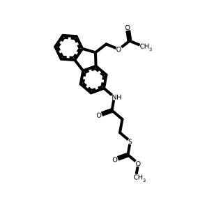 COC(=O)SCCC(=O)Nc1ccc2c(c1)C(COC(C)=O)c1ccccc1-2